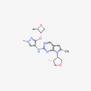 C[C@H]1COC[C@@H]1n1c(C#N)cc2cnc(Nc3cn(C)nc3O[C@H]3CO[C@@H]3C)nc21